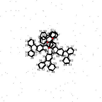 c1ccc(-c2ccccc2-c2ccc3c(c2)c2cc(-c4ccccc4-c4ccccc4)ccc2n3-c2cc(-c3ccccc3)c(-c3ccccc3)cc2-n2c3ccc(-c4ccccc4-c4ccccc4)cc3c3cc(-c4ccccc4-c4ccccc4)ccc32)cc1